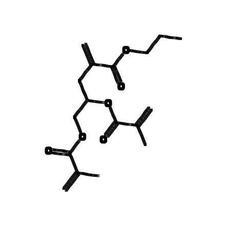 C=C(C)C(=O)OCC(CC(=C)C(=O)OCCC)OC(=O)C(=C)C